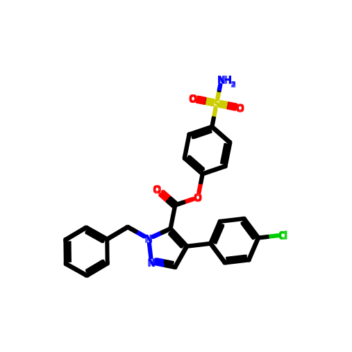 NS(=O)(=O)c1ccc(OC(=O)c2c(-c3ccc(Cl)cc3)cnn2Cc2ccccc2)cc1